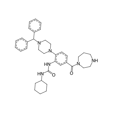 O=C(Nc1cc(C(=O)N2CCCNCC2)ccc1N1CCN(C(c2ccccc2)c2ccccc2)CC1)NC1CCCCC1